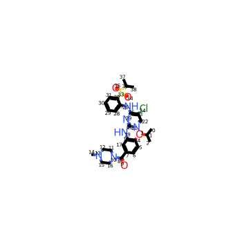 CC(C)Oc1ccc(C(=O)N2CCN(C)CC2)cc1Nc1ncc(Cl)c(Nc2ccccc2S(=O)(=O)C(C)C)n1